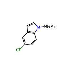 CC(=O)Nn1ccc2cc(Cl)ccc21